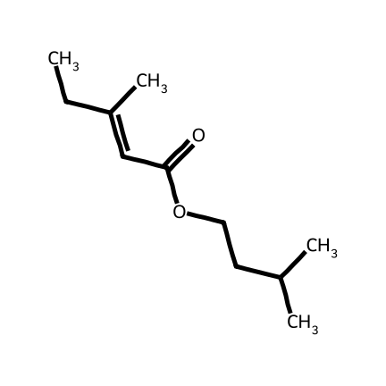 CC/C(C)=C/C(=O)OCCC(C)C